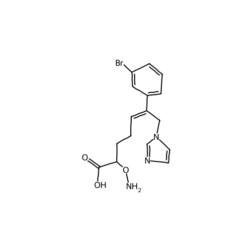 NOC(CCC=C(Cn1ccnc1)c1cccc(Br)c1)C(=O)O